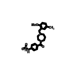 COc1ccc(C)cc1CN1CCCN(C(=O)c2ccc(N[SH](=O)=O)cc2)CC1